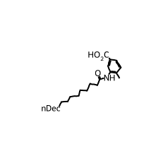 CCCCCCCCCCCCCCCCCCC(=O)Nc1cc(C(=O)O)ccc1C